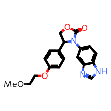 COCCOc1ccc(C2COC(=O)N2c2ccc3[nH]cnc3c2)cc1